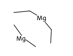 C[CH2][Mg][CH2]C.[CH3][Mg][CH3]